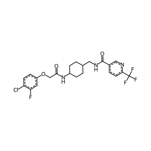 O=C(COc1ccc(Cl)c(F)c1)NC1CCC(CNC(=O)c2ccc(C(F)(F)F)nc2)CC1